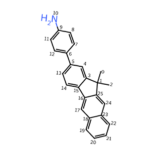 CC1(C)c2cc(-c3ccc(N)cc3)ccc2-c2cc3ccccc3cc21